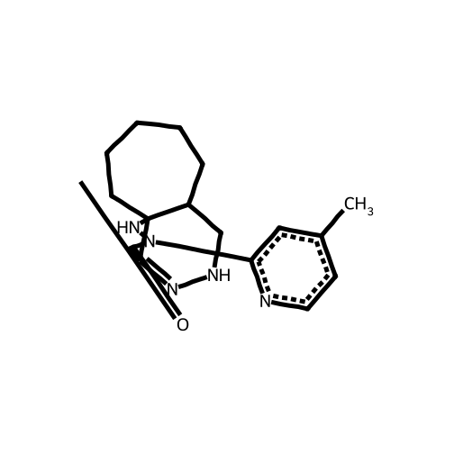 Cc1ccnc(N2NC34CCCCCC3CNN=C4C2=O)c1